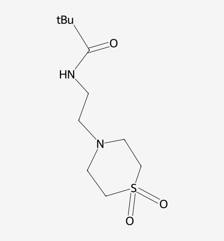 CC(C)(C)C(=O)NCCN1CCS(=O)(=O)CC1